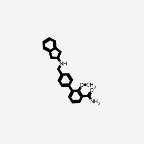 COc1c(C(N)=O)cccc1-c1ccc(CNC2Cc3ccccc3C2)cc1